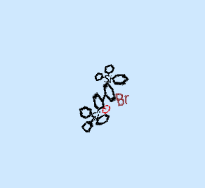 Brc1cc(-c2cccc3c2Oc2ccccc2[Si]3(c2ccccc2)c2ccccc2)cc([Si](c2ccccc2)(c2ccccc2)c2ccccc2)c1